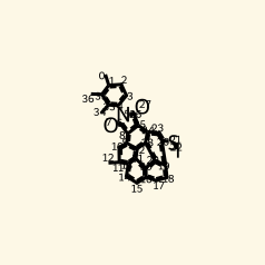 Cc1ccc(-n2c(=O)c3c4cc(C)c5ccc6ccc7c(SI)cc(c3c2=O)c2c7c6c5c42)c(C)c1C